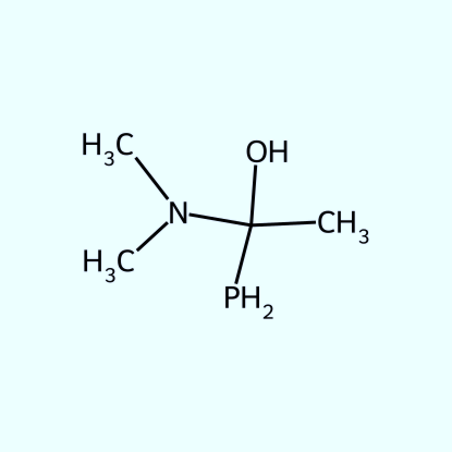 CN(C)C(C)(O)P